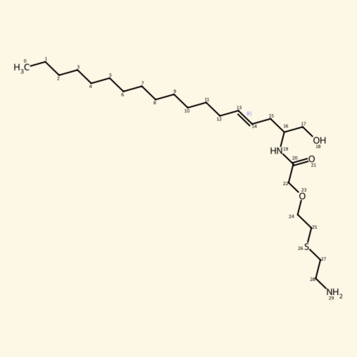 CCCCCCCCCCCCC/C=C/CC(CO)NC(=O)COCCSCCN